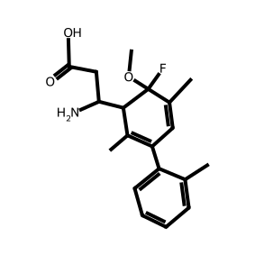 COC1(F)C(C)=CC(c2ccccc2C)=C(C)C1C(N)CC(=O)O